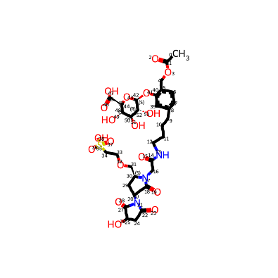 CC(=O)OCc1ccc(CCCCNC(=O)CN2C(=O)[C@@H](N3C(=O)CC(O)C3=O)C[C@H]2COCCS(=O)(=O)O)cc1O[C@@H]1O[C@H](C(=O)O)[C@@H](O)[C@H](O)[C@H]1O